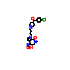 CN1CCC(=NO)c2ccn(CCCCN3CCC(C(=O)c4ccc(Cl)cc4)CC3)c2C1=O